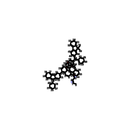 C/C=C\C=C/C1C=Cc2c(-c3ccc4c(c3)c3ccccc3n4-c3ccccc3)ccc(-c3ccc(N(c4ccccc4)c4ccc5c(c4)C(C)(C)c4ccccc4-5)cc3)c2C12c1ccccc1Sc1ccccc12